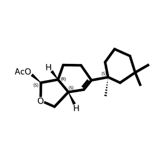 CC(=O)O[C@@H]1OC[C@H]2C=C([C@@]3(C)CCCC(C)(C)C3)CC[C@@H]12